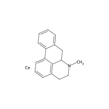 CN1CCc2cccc3c2C1Cc1ccccc1-3.[Ce]